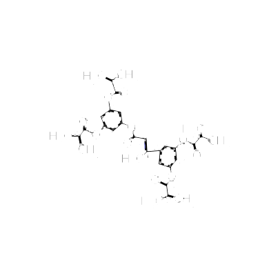 C=C(C)C(=O)Oc1cc(OC(=O)/C=C(\C)c2cc(OC(=O)C(=C)C)cc(OC(=O)C(=C)C)c2)cc(OC(=O)C(=C)C)c1